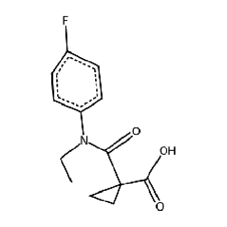 CCN(C(=O)C1(C(=O)O)CC1)c1ccc(F)cc1